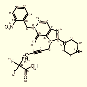 CC#CCn1c(N2CCNCC2)nc2cnn(Cc3ccccc3[N+](=O)[O-])c(=O)c21.O=C(O)C(F)(F)F